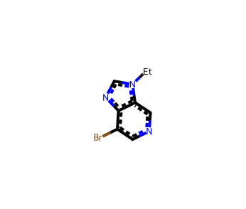 CCn1cnc2c(Br)cncc21